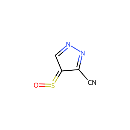 N#CC1=NN=CC1=S=O